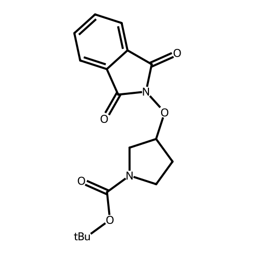 CC(C)(C)OC(=O)N1CCC(ON2C(=O)c3ccccc3C2=O)C1